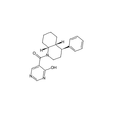 O=C(c1cncnc1O)N1CC[C@H](c2ccccc2)[C@H]2CCCC[C@H]21